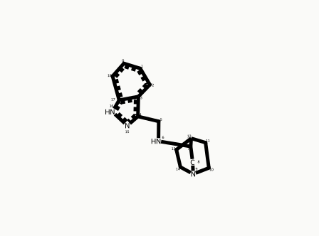 c1ccc2c(CNC3CN4CCC3CC4)n[nH]c2c1